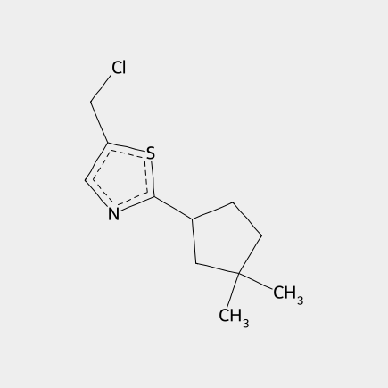 CC1(C)CCC(c2ncc(CCl)s2)C1